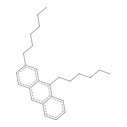 CCCCCCc1ccc2cc3ccccc3c(CCCCCC)c2c1